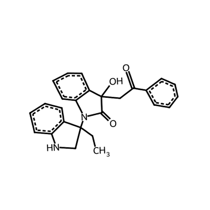 CCC1(N2C(=O)C(O)(CC(=O)c3ccccc3)c3ccccc32)CNc2ccccc21